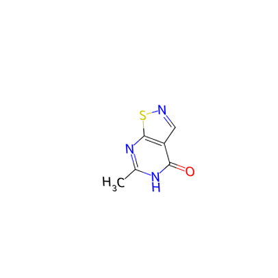 Cc1nc2sncc2c(=O)[nH]1